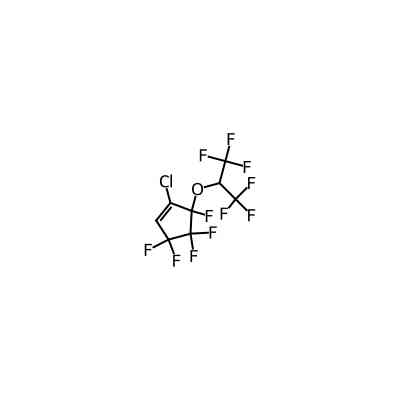 FC(F)(F)C(OC1(F)C(Cl)=CC(F)(F)C1(F)F)C(F)(F)F